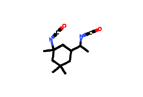 CC(N=C=O)C1CC(C)(C)CC(C)(N=C=O)C1